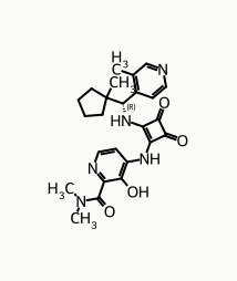 Cc1cnccc1[C@H](Nc1c(Nc2ccnc(C(=O)N(C)C)c2O)c(=O)c1=O)C1(C)CCCC1